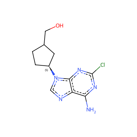 Nc1nc(Cl)nc2c1ncn2[C@H]1CCC(CO)C1